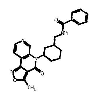 Cc1onc2c1c(=O)n(C1CCCC(CNC(=O)c3ccccc3)C1)c1cnccc21